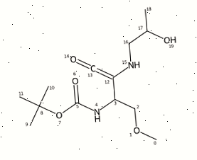 COCC(NC(=O)OC(C)(C)C)C(=C=O)NCC(C)O